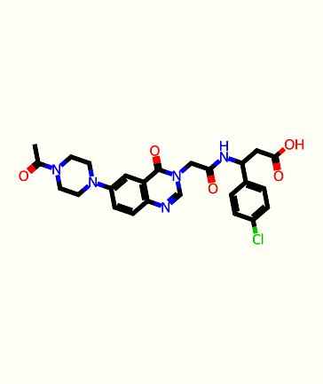 CC(=O)N1CCN(c2ccc3ncn(CC(=O)NC(CC(=O)O)c4ccc(Cl)cc4)c(=O)c3c2)CC1